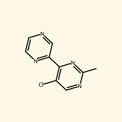 Cc1ncc(Cl)c(-c2cnccn2)n1